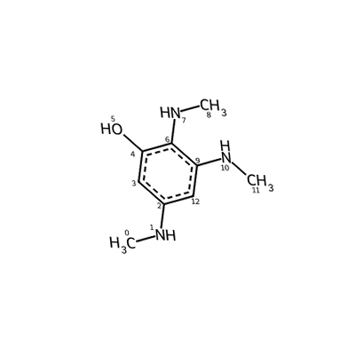 CNc1cc(O)c(NC)c(NC)c1